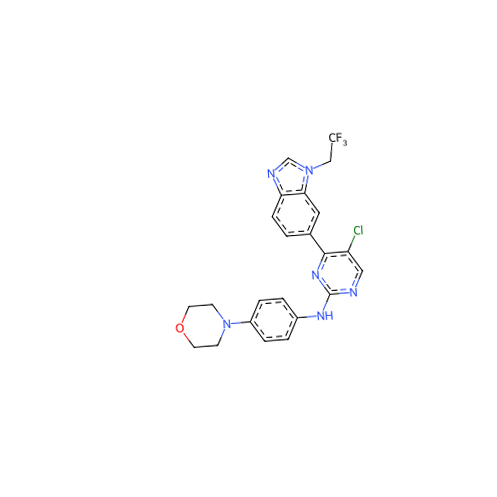 FC(F)(F)Cn1cnc2ccc(-c3nc(Nc4ccc(N5CCOCC5)cc4)ncc3Cl)cc21